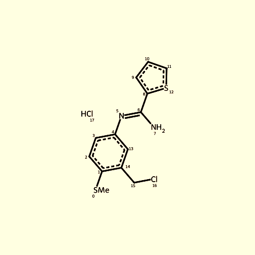 CSc1ccc(N=C(N)c2cccs2)cc1CCl.Cl